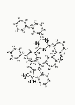 CC1(C)c2ccccc2-c2c(-c3ccc4oc5cccc(C6=NC(c7cccc(-c8ccccc8)c7)NC(c7cccc(-c8ccccc8)c7)=N6)c5c4c3)cccc21